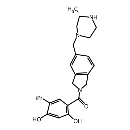 CC(C)c1cc(C(=O)N2Cc3ccc(CN4CCN[C@@H](C)C4)cc3C2)c(O)cc1O